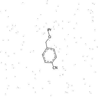 CC(C)OCc1ccc(C#N)cc1